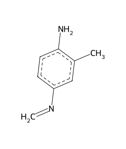 C=Nc1ccc(N)c(C)c1